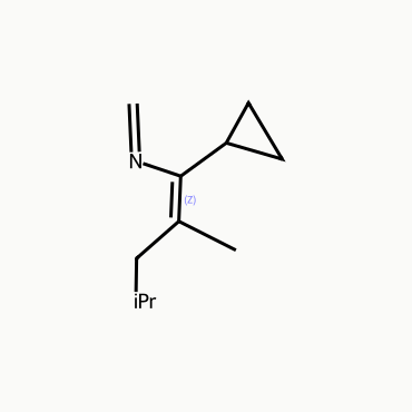 C=N/C(=C(/C)CC(C)C)C1CC1